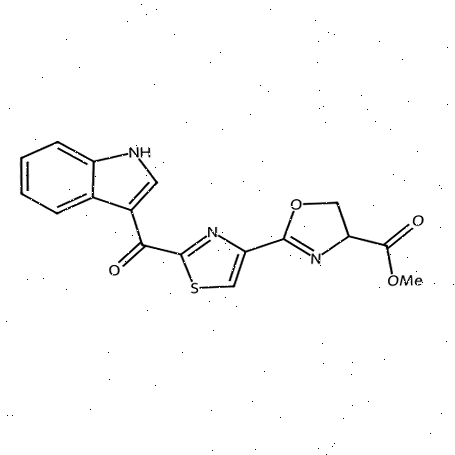 COC(=O)C1COC(c2csc(C(=O)c3c[nH]c4ccccc34)n2)=N1